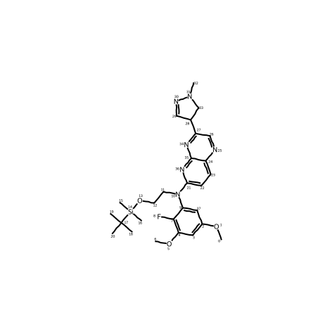 COc1cc(OC)c(F)c(N(CCO[Si](C)(C)C(C)(C)C)c2ccc3ncc(C4C=NN(C)C4)nc3n2)c1